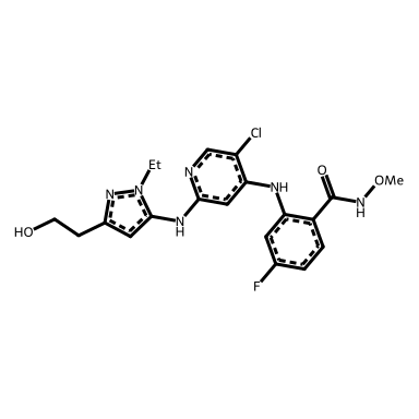 CCn1nc(CCO)cc1Nc1cc(Nc2cc(F)ccc2C(=O)NOC)c(Cl)cn1